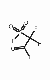 O=C(I)C(F)(F)S(=O)(=O)F